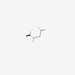 CC(CC(O)Br)C(=O)O